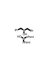 CC(C)CN(O)CC(C)C.CCCCCN(O)CCCCC